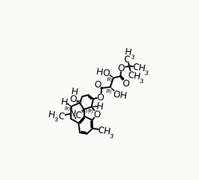 Cc1ccc2c3c1O[C@H]1C(OC(=O)[C@H](O)[C@@H](O)C(=O)OC(C)(C)C)=CC[C@@]4(O)[C@@H](C2)N(C)CC[C@]314